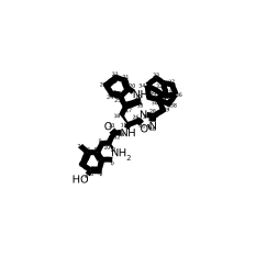 Cc1cc(O)cc(C)c1C[C@H](N)C(=O)N[C@@H](Cc1c[nH]c2ccccc12)c1nc(CC23CC4CC(CC(C4)C2)C3)no1